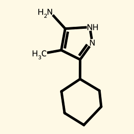 Cc1c(C2CCCCC2)n[nH]c1N